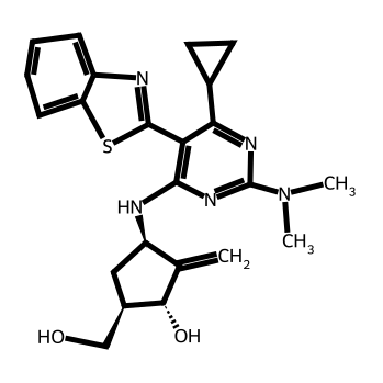 C=C1[C@H](Nc2nc(N(C)C)nc(C3CC3)c2-c2nc3ccccc3s2)C[C@H](CO)[C@H]1O